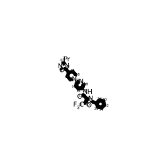 CC(C)c1noc(C2CCN(c3ccc(NC(=O)c4nc(-c5ccccc5)oc4C(F)(F)F)cn3)CC2)n1